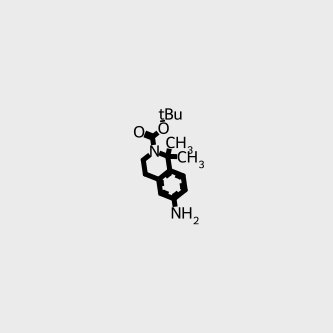 CC(C)(C)OC(=O)N1CCc2cc(N)ccc2C1(C)C